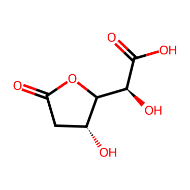 O=C1C[C@@H](O)C([C@H](O)C(=O)O)O1